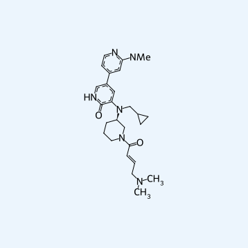 CNc1cc(-c2c[nH]c(=O)c(N(CC3CC3)[C@@H]3CCCN(C(=O)C=CCN(C)C)C3)c2)ccn1